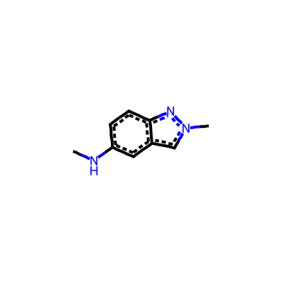 CNc1ccc2nn(C)cc2c1